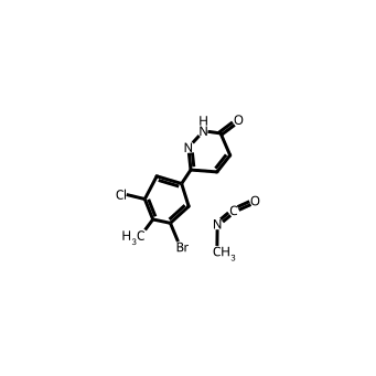 CN=C=O.Cc1c(Cl)cc(-c2ccc(=O)[nH]n2)cc1Br